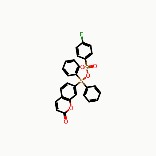 O=c1ccc2ccc(S(OS(=O)(=O)c3ccc(F)cc3)(c3ccccc3)c3ccccc3)cc2o1